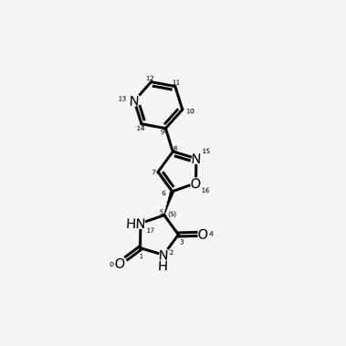 O=C1NC(=O)[C@H](c2cc(-c3cccnc3)no2)N1